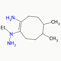 CCN(N)/C1=C(\N)CCC(C)C(C)CC1